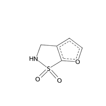 O=S1(=O)NCc2ccoc21